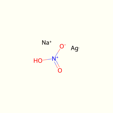 O=[N+]([O-])O.[Ag].[Na+]